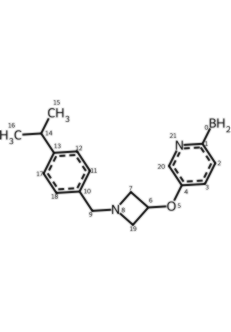 Bc1ccc(OC2CN(Cc3ccc(C(C)C)cc3)C2)cn1